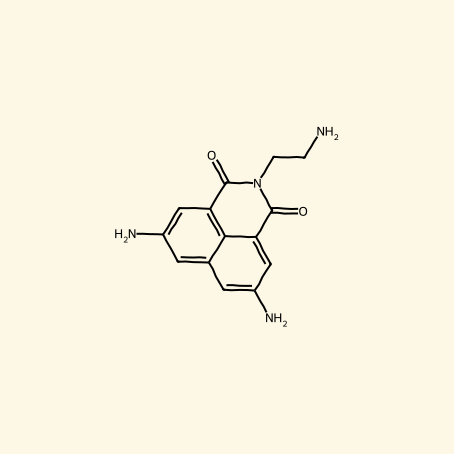 NCCN1C(=O)c2cc(N)cc3cc(N)cc(c23)C1=O